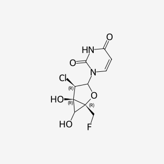 O=c1ccn(C2O[C@]3(CF)C(O)[C@]3(O)[C@H]2Cl)c(=O)[nH]1